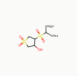 CCCCCCCC(CCCCCC)S(=O)(=O)C1CS(=O)(=O)CC1O